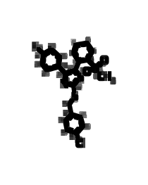 CS(=O)(=O)c1ccccc1-c1sc(SCc2ccc(Cl)cc2)nc1-c1ccc(F)cc1